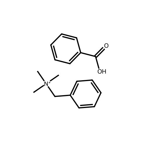 C[N+](C)(C)Cc1ccccc1.O=C(O)c1ccccc1